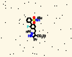 CCCN1NC(C(C)C)=C(C(=O)OCC)C1Cc1ccc(-c2ccccc2S(=O)(=O)NC(C)(C)C)c(F)c1